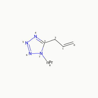 C=CCc1nnnn1CCC